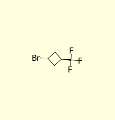 FC(F)(F)[C@H]1C[C@H](Br)C1